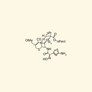 CCCCCOC(=O)C(C)(C)CCC.COCC1=C(C(=O)O)N2C(=O)C(NC(=O)/C(=N\O)c3csc(N)n3)C2SC1